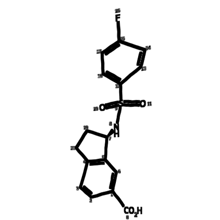 O=C(O)c1ccc2c(c1)[C@H](NS(=O)(=O)c1ccc(F)cc1)CC2